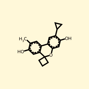 Cc1cc2c(cc1O)C1(CCC1)Oc1cc(O)c(C3CC3)cc1-2